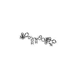 CNS(=O)(=O)c1cccc(OCC(O)CN[C@H]2COC3(CCN(S(=O)(=O)c4cnc5ccccc5c4O)CC3)C2)c1